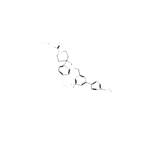 CC(C)(C)OC(=O)N1CCC(COCc2cc(N)cc(-c3ccc(C#N)cc3)c2)(c2ccccc2)CC1